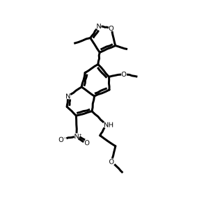 COCCNc1c([N+](=O)[O-])cnc2cc(-c3c(C)noc3C)c(OC)cc12